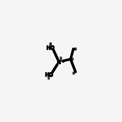 CC(C)[N+](O)O